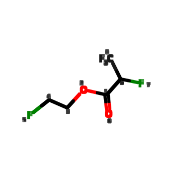 O=C(OCCF)C(F)C(F)(F)F